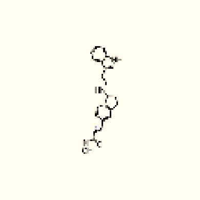 O=C(/C=C/c1ccc2c(c1)CCC2NCCc1c[nH]c2ccccc12)NO